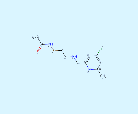 CNC(=O)NSCCNCc1cc(Cl)cc(C)n1